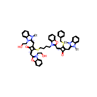 CCN1C(=CC2=C(SCc3ccccc3)/C(=C\c3oc4ccccc4[n+]3CCCCSC3=C(/C=C4/N(CC)c5ccccc5N4CCO)C(=O)/C3=C/c3oc4ccccc4[n+]3CCO)C2=O)N(CC)c2ccccc21